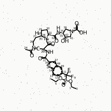 CCOP(=O)(OCC)C(F)(F)c1ccc2sc(C(=O)N[C@H]3CN(C(C)=O)CC[C@H]4CC[C@@H](C(=O)N[C@H]5CN(C(=O)O)C[C@@H]5O)N4C3=O)cc2c1